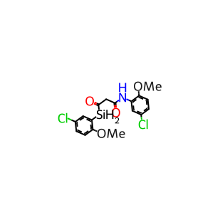 COc1ccc(Cl)cc1NC(=O)CC(=O)[SiH2]c1cc(Cl)ccc1OC